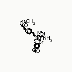 CC(=O)OC(C=O)CN1CCC(CCn2c(Sc3cc4c(cc3Br)OCO4)nc3c(N)ncnc32)CC1